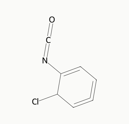 O=C=NC1=CC=C=CC1Cl